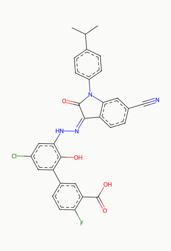 CC(C)c1ccc(N2C(=O)C(=NNc3cc(Cl)cc(-c4ccc(F)c(C(=O)O)c4)c3O)c3ccc(C#N)cc32)cc1